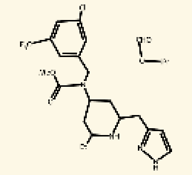 CC(C)OC=O.CCC1CC(N(Cc2cc(Cl)cc(C(F)(F)F)c2)C(=O)OC)CC(Cc2cc[nH]n2)N1